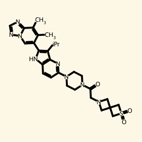 Cc1c(-c2[nH]c3ccc(N4CCN(C(=O)CN5CC6(C5)CS(=O)(=O)C6)CC4)nc3c2C(C)C)cn2ncnc2c1C